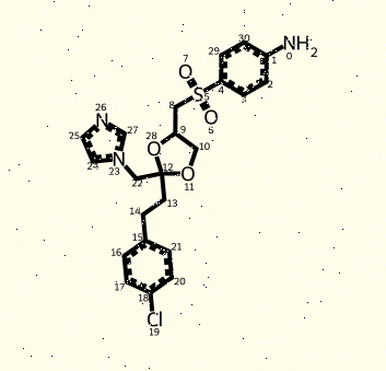 Nc1ccc(S(=O)(=O)CC2COC(CCc3ccc(Cl)cc3)(Cn3ccnc3)O2)cc1